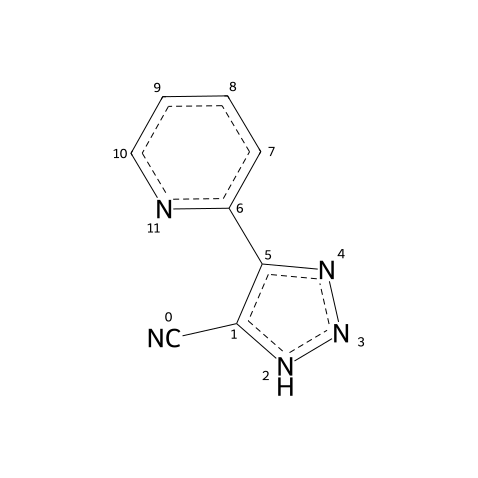 N#Cc1[nH]nnc1-c1ccccn1